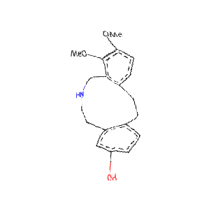 COc1ccc2c(c1OC)CNCCc1cc(O)ccc1CC2